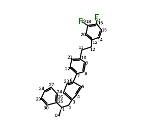 C[C@H](Cc1ccc(-c2ccc(CCc3ccc(F)c(F)c3)cc2)cc1)c1ccccc1